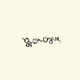 Cc1ccc2c(C3CCN(CCC4CCC(CC(N)=O)CC4)CC3)noc2c1